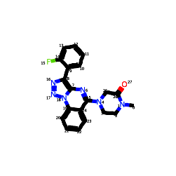 CN1CCN(c2nc3c(-c4ccccc4F)nnn3c3ccccc23)CC1=O